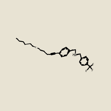 CCCCCCCCCCC#Cc1ccc(CNCc2ccc(C(F)(F)F)cc2)cc1